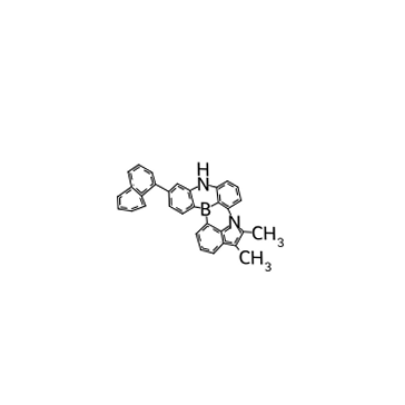 Cc1c(C)n2c3c(cccc13)B1c3ccc(-c4cccc5ccccc45)cc3Nc3cccc-2c31